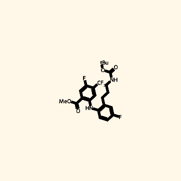 COC(=O)c1cc(F)c(C(F)(F)F)cc1Nc1ccc(F)cc1CCCNC(=O)OC(C)(C)C